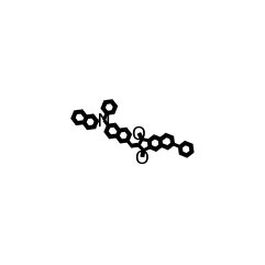 O=C1C(=Cc2ccc3cc(N(c4ccccc4)c4ccc5ccccc5c4)ccc3c2)C(=O)c2cc3cc(-c4ccccc4)ccc3cc21